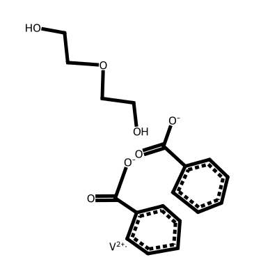 O=C([O-])c1ccccc1.O=C([O-])c1ccccc1.OCCOCCO.[V+2]